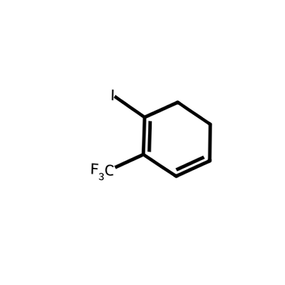 FC(F)(F)C1=C(I)CCC=C1